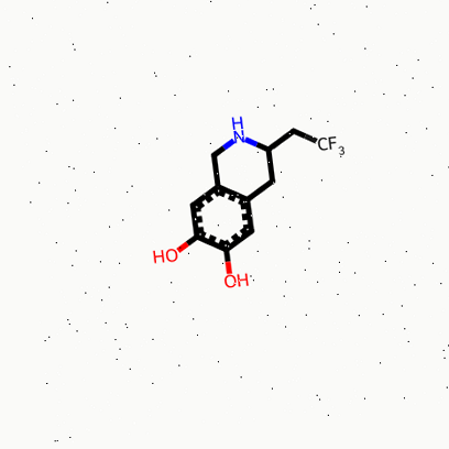 Oc1cc2c(cc1O)CC(CC(F)(F)F)NC2